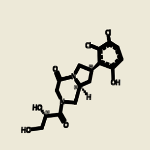 O=C([C@@H](O)CO)N1CC(=O)N2C[C@@H](c3c(O)ccc(Cl)c3Cl)C[C@H]2C1